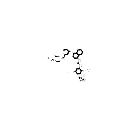 CCC1CN(C(=O)c2cc(Oc3ccc(NC(=O)Nc4cc(C(C)(C)C)cc(NS(C)(=O)=O)c4OC)c4ccccc34)ccn2)CCN1C(=O)OC(C)(C)C